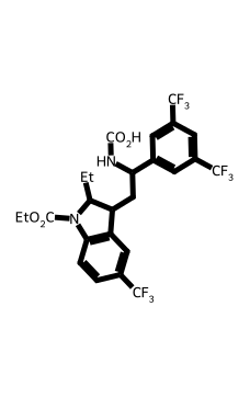 CCOC(=O)N1c2ccc(C(F)(F)F)cc2C(CC(NC(=O)O)c2cc(C(F)(F)F)cc(C(F)(F)F)c2)C1CC